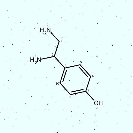 NCC(N)c1ccc(O)cc1